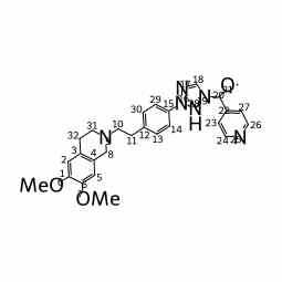 COc1cc2c(cc1OC)CN(CCc1ccc(N3N=CN(C([O])c4ccncc4)N3)cc1)CC2